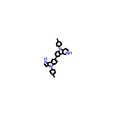 Cc1ccc(-n2c3c(c4cc(-c5ccc6c(c5)c5[nH]ccc5n6-c5ccc(C)cc5)ccc42)CNC=C3)cc1